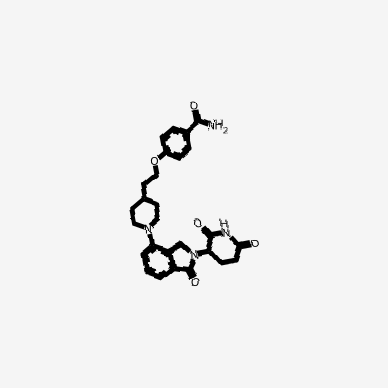 NC(=O)c1ccc(OCCC2CCN(c3cccc4c3CN(C3CCC(=O)NC3=O)C4=O)CC2)cc1